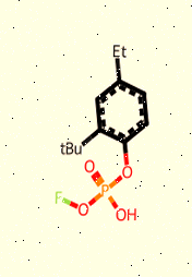 CCc1ccc(OP(=O)(O)OF)c(C(C)(C)C)c1